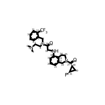 CN(C)CCN(Cc1ccccc1C(F)(F)F)C(=O)CNc1cccc2c1CCN(C(=O)[C@@H]1C[C@@H]1F)C2